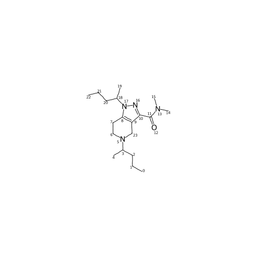 CCCC(C)N1CCc2c(c(C(=O)N(C)C)nn2C(C)CCC)C1